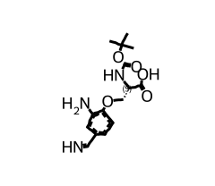 CC(C)(C)OC(=O)N[C@@H](COc1ccc(C=N)cc1N)C(=O)O